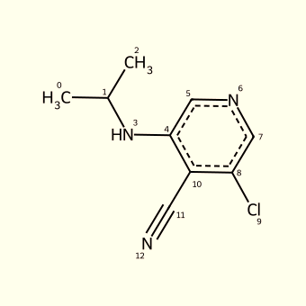 CC(C)Nc1cncc(Cl)c1C#N